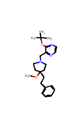 COC1(CCc2ccccc2)CCN(Cc2nccnc2OC(C)(C)C)CC1